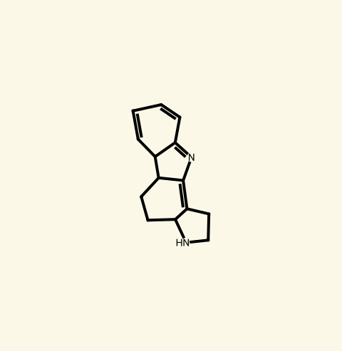 C1=CC2=NC3=C4CCNC4CCC3C2C=C1